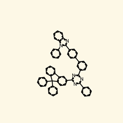 c1ccc(-c2nc(-c3cccc(-c4ccc(-c5nc6ccccc6n5-c5ccccc5)cc4)c3)nc(-c3ccc4c(c3)-c3ccccc3C4(c3ccccc3)c3ccccc3)n2)cc1